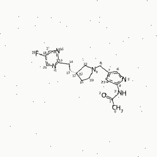 CC(=O)Nc1ncc(CN2CC[C@H](CCc3ncc(F)cn3)C2)s1